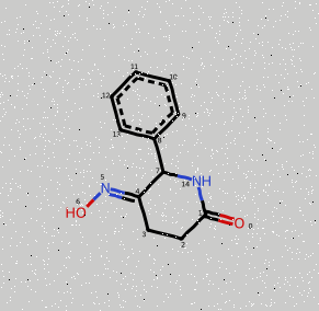 O=C1CC/C(=N\O)C(c2ccccc2)N1